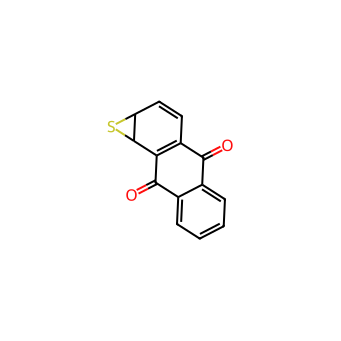 O=C1C2=C(C(=O)c3ccccc31)C1SC1C=C2